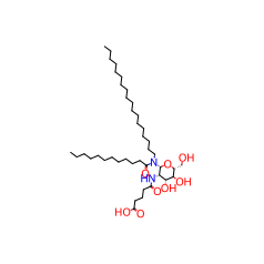 CCCCCCCCCCCCCCCCCCN(C(=O)CCCCCCCCCCC)[C@@H]1O[C@H](CO)[C@@H](O)[C@H](O)[C@@H]1NC(=O)CCCC(=O)O